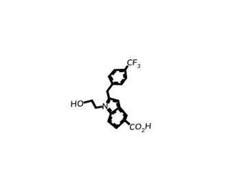 O=C(O)c1ccc2c(c1)cc(Cc1ccc(C(F)(F)F)cc1)n2CCO